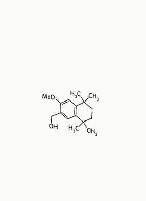 COc1cc2c(cc1CO)C(C)(C)CCC2(C)C